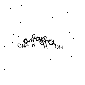 COc1ccccc1CCNC(=O)c1ccc(S(=O)(=O)NC(=O)c2ccc(CO)nc2)cc1